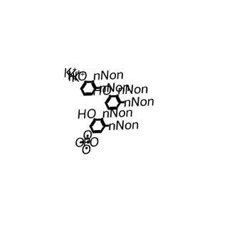 CCCCCCCCCc1cccc(O)c1CCCCCCCCC.CCCCCCCCCc1cccc(O)c1CCCCCCCCC.CCCCCCCCCc1cccc(O)c1CCCCCCCCC.O=P([O-])([O-])[O-].[K+].[K+].[K+]